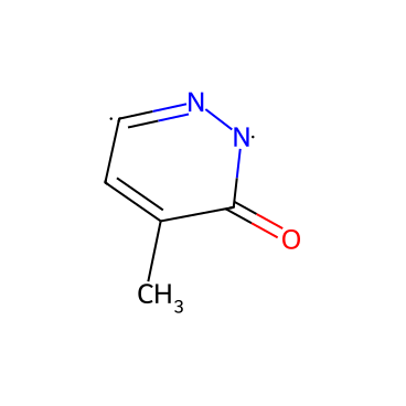 CC1=C[C]=N[N]C1=O